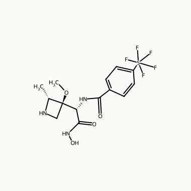 CO[C@@]1([C@H](NC(=O)c2ccc(S(F)(F)(F)(F)F)cc2)C(=O)NO)CN[C@@H]1C